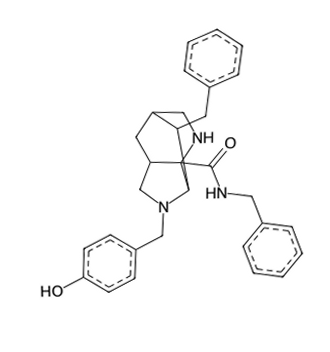 O=C(NCc1ccccc1)C12NCC3CC1CN(Cc1ccc(O)cc1)C2C3Cc1ccccc1